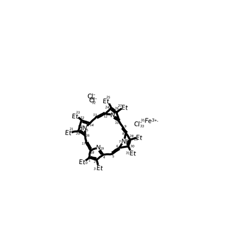 CCC1=C(CC)c2cc3[nH]c(cc4nc(cc5[nH]c(cc1n2)c(CC)c5CC)C(CC)=C4CC)c(CC)c3CC.[Cl-].[Cl-].[Cl-].[Fe+3]